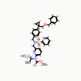 CC(C)(C)OC(=O)N(c1cccc(CN(Cc2ccc(C3(COCc4ccccc4)CC3)cc2)S(=O)(=O)c2ccccn2)n1)C(C(=O)O)C(C)(C)C